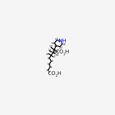 CC(C)(CCCCCC(=O)O)C(C)(C)C(C)(C(=O)O)C1CCNCC1